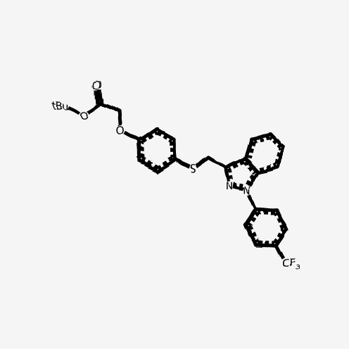 CC(C)(C)OC(=O)COc1ccc(SCc2nn(-c3ccc(C(F)(F)F)cc3)c3ccccc23)cc1